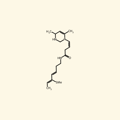 C/C=C(/C=C/CCNC(=O)C/C=C\N1CNC(C)C=C1C)SC